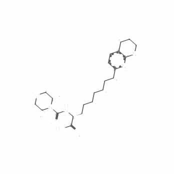 C[C@@H]1COC[C@H](C)N1C(=O)N[C@@H](CCCCCCCc1ccc2c(n1)NCCC2)C(=O)O